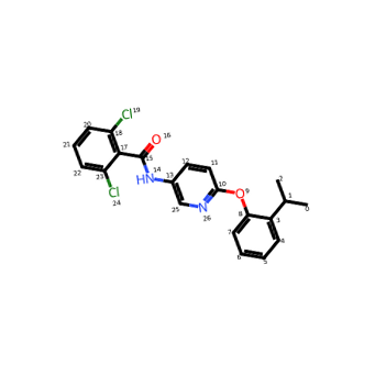 CC(C)c1ccccc1Oc1ccc(NC(=O)c2c(Cl)cccc2Cl)cn1